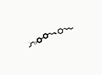 CCCCC[C@H]1CC[C@H](C=CCCc2ccc(-c3ccc(OC[C@@H](C)CC)cc3)cc2)CC1